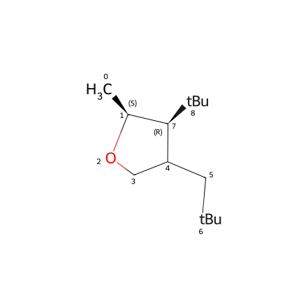 C[C@@H]1OCC(CC(C)(C)C)[C@@H]1C(C)(C)C